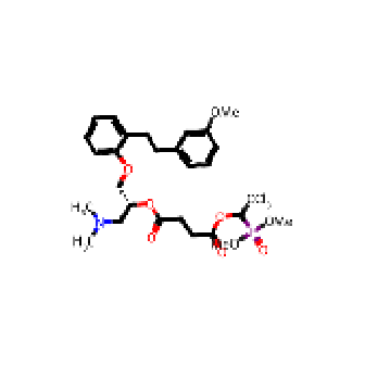 COc1cccc(CCc2ccccc2OC[C@@H](CN(C)C)OC(=O)CCC(=O)OC(C(Cl)(Cl)Cl)P(=O)(OC)OC)c1